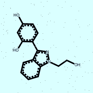 OCCn1nc(-c2ccc(O)cc2O)c2ccccc21